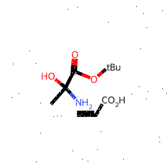 C=CC(=O)O.CC(C)(C)OC(=O)C(C)(N)O